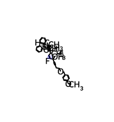 COc1ccc(COCCC#CC(O)/C(F)=C\C(C)C(C)O[Si](c2ccccc2)(c2ccccc2)C(C)(C)C)cc1